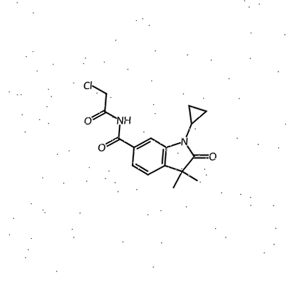 CC1(C)C(=O)N(C2CC2)c2cc(C(=O)NC(=O)CCl)ccc21